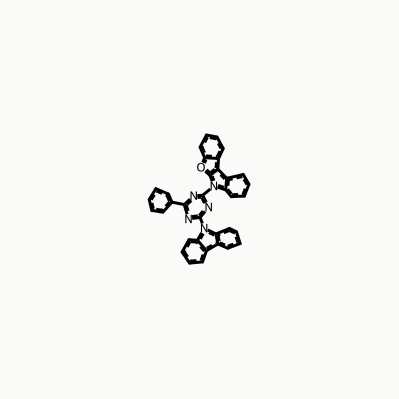 c1ccc(-c2nc(-n3c4ccccc4c4ccccc43)nc(-n3c4ccccc4c4c5ccccc5oc43)n2)cc1